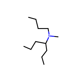 CCCCN(C)C(CCC)CCC